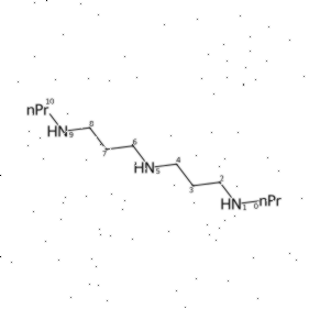 CCCNCCCNCCCNCCC